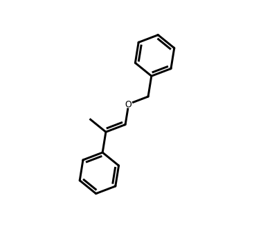 C/C(=C\OCc1ccccc1)c1ccccc1